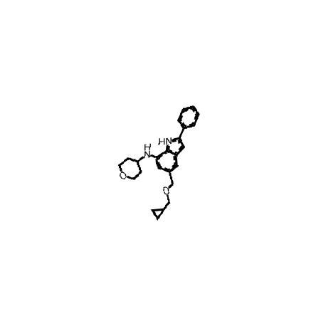 c1ccc(-c2cc3cc(COCC4CC4)cc(NC4CCOCC4)c3[nH]2)cc1